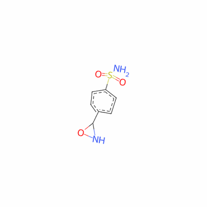 NS(=O)(=O)c1ccc(C2NO2)cc1